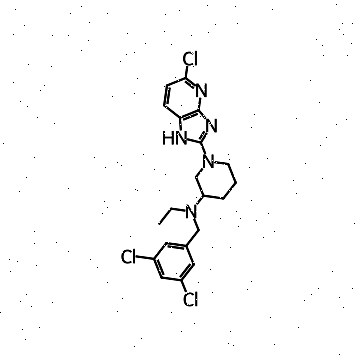 CCN(Cc1cc(Cl)cc(Cl)c1)C1CCCN(c2nc3nc(Cl)ccc3[nH]2)C1